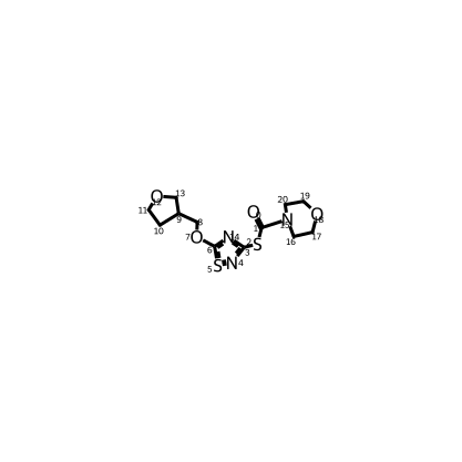 O=C(Sc1nsc(OCC2CCOC2)n1)N1CCOCC1